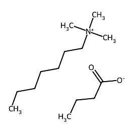 CCCC(=O)[O-].CCCCCCC[N+](C)(C)C